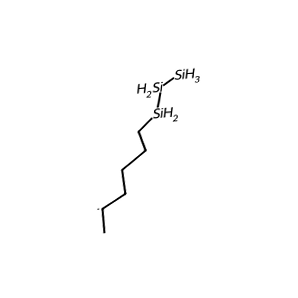 C[CH]CCCC[SiH2][SiH2][SiH3]